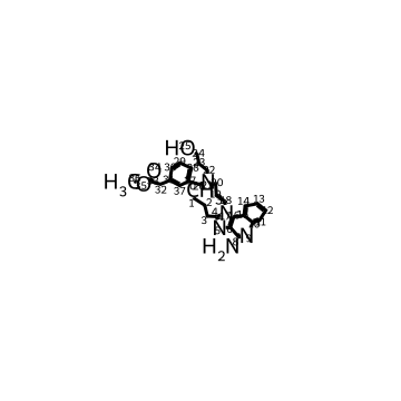 CCCCc1nc2c(N)nc3ccccc3c2n1CCCN(CCCO)Cc1cccc(CC(=O)OC)c1